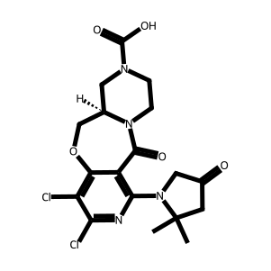 CC1(C)CC(=O)CN1c1nc(Cl)c(Cl)c2c1C(=O)N1CCN(C(=O)O)C[C@@H]1CO2